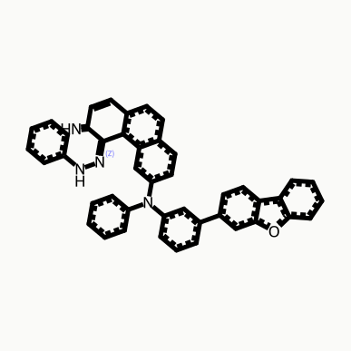 N=C1C=Cc2ccc3ccc(N(c4ccccc4)c4cccc(-c5ccc6c(c5)oc5ccccc56)c4)cc3c2/C1=N/Nc1ccccc1